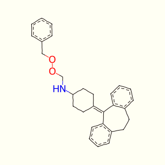 c1ccc(COOCNC2CCC(=C3c4ccccc4CCc4ccccc43)CC2)cc1